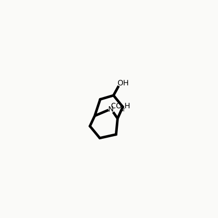 O=C(O)N1C2CCCC1CC(O)C2